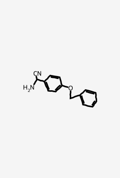 N#CC(N)c1ccc(OCc2ccccc2)cc1